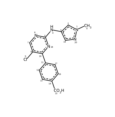 Cn1cc(Nc2ncc(Cl)c(-c3ccc(C(=O)O)cc3)n2)cn1